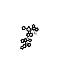 CC1C(C2=C3C=CC=CC3C(N3c4cc5ccccc5c(N5c6ccccc6C6C=C7C=CCC7=CC65)c4C4C=CCC43)C=C2)=CC(C2C=CC=CC2)C2CC2C1c1cc2ccccc2c2c1C=CC2